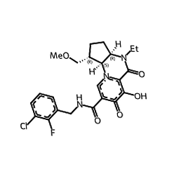 CCN1C(=O)c2c(O)c(=O)c(C(=O)NCc3cccc(Cl)c3F)cn2[C@H]2[C@H](COC)CC[C@H]21